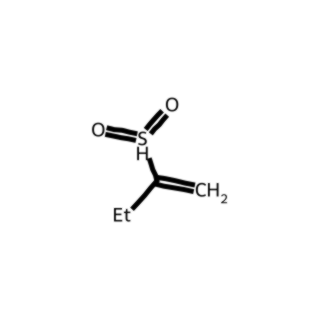 C=C(CC)[SH](=O)=O